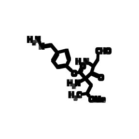 COC(C)CC(N)(C(=O)Oc1ccc(C=NN)cc1)C(=O)C(N)CC=O